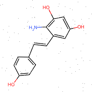 Nc1c(O)cc(O)cc1C=Cc1ccc(O)cc1